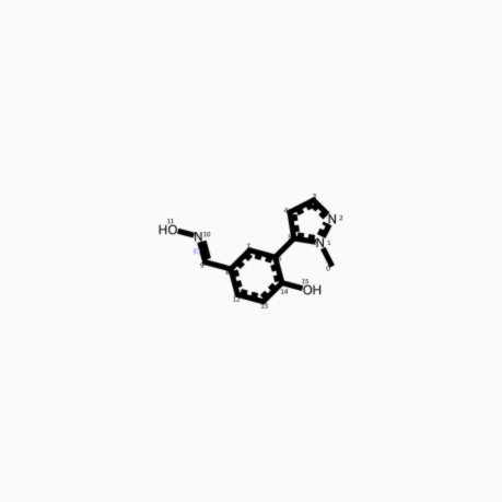 Cn1nccc1-c1cc(/C=N/O)ccc1O